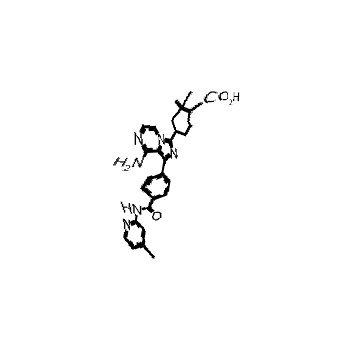 Cc1ccnc(NC(=O)c2ccc(-c3nc(C4CCC(C(=O)O)C(C)(C)C4)n4ccnc(N)c34)cc2)c1